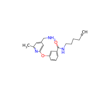 C#CCCCCNC(=O)c1cccc(Oc2cc(CN)cc(C)n2)c1